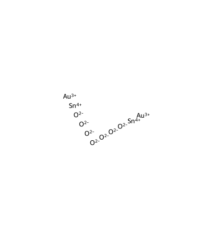 [Au+3].[Au+3].[O-2].[O-2].[O-2].[O-2].[O-2].[O-2].[O-2].[Sn+4].[Sn+4]